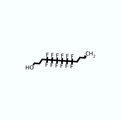 C=CCCC(F)(F)C(F)(F)C(F)(F)C(F)(F)C(F)(F)C(F)(F)CCCO